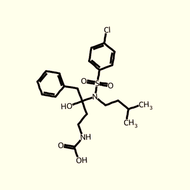 CC(C)CCN(C(O)(CCNC(=O)O)Cc1ccccc1)S(=O)(=O)c1ccc(Cl)cc1